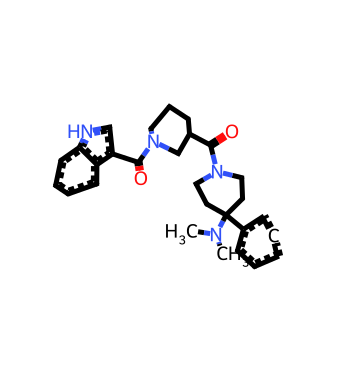 CN(C)C1(c2ccccc2)CCN(C(=O)C2CCCN(C(=O)c3c[nH]c4ccccc34)C2)CC1